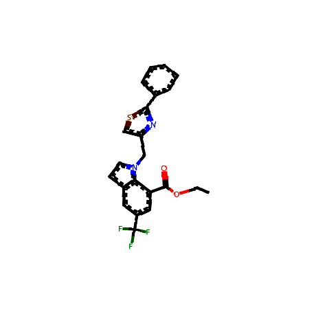 CCOC(=O)c1cc(C(F)(F)F)cc2ccn(Cc3csc(-c4ccccc4)n3)c12